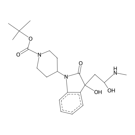 CNC(O)CC1(O)C(=O)N(C2CCN(C(=O)OC(C)(C)C)CC2)c2ccccc21